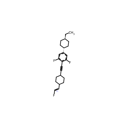 CC[C@H]1CC[C@H](c2cc(F)c(C#CC3CCC(/C=C/F)CC3)c(F)c2)CC1